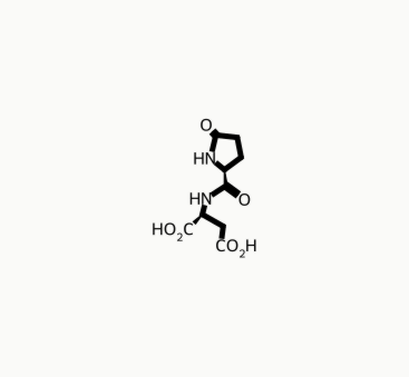 O=C(O)C[C@H](NC(=O)[C@@H]1CCC(=O)N1)C(=O)O